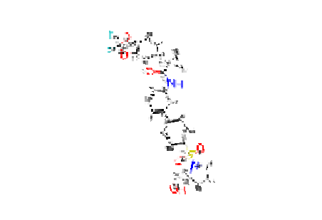 O=C(Nc1cccc(-c2ccc(S(=O)(=O)N3CCC[C@@H]3CO)cc2)c1)C1(c2ccc3c(c2)OC(F)(F)O3)CC1